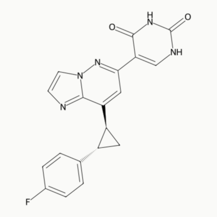 O=c1[nH]cc(-c2cc([C@H]3C[C@@H]3c3ccc(F)cc3)c3nccn3n2)c(=O)[nH]1